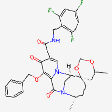 CC1C[C@@]2(CC[C@H](C)N3C[C@H]2n2cc(C(=O)NCc4c(F)cc(F)cc4F)c(=O)c(OCc4ccccc4)c2C3=O)OCO1